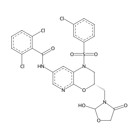 O=C(Nc1cnc2c(c1)N(S(=O)(=O)c1cccc(Cl)c1)C[C@H](CN1C(=O)COC1O)O2)c1c(Cl)cccc1Cl